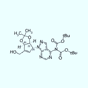 CC(C)(C)OC(=O)N(C(=O)OC(C)(C)C)c1ncnc2c1cnn2[C@@H]1C=C(CO)[C@H]2OC(C)(C)O[C@H]21